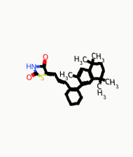 Cc1cc2c(cc1C1=C(C=CC=C3SC(=O)NC3=O)CCCC1)C(C)(C)CCC2(C)C